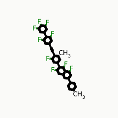 Cc1ccc(-c2cc(F)c3c(F)c(-c4cc(C)c(C#Cc5cc(F)c(-c6cc(F)c(F)c(F)c6)c(F)c5)c(F)c4)c(F)cc3c2)cc1